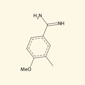 COc1ccc(C(=N)N)cc1C